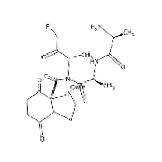 CON1CCC2C(=O)CCC(=O)[C@@]21C(=O)N(C(=O)[C@H](C)NC(=O)[C@H](C)N)C(C)C(=O)CF